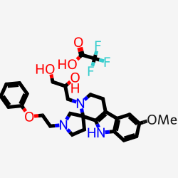 COc1ccc2[nH]c3c(c2c1)CCN(CC(O)CO)C31CCN(CCOc2ccccc2)C1.O=C(O)C(F)(F)F